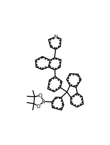 CC1(C)OB(c2cccc(C3(c4cccc(-c5ccc(-c6ccncc6)c6ccccc56)c4)c4ccccc4-c4ccccc43)c2)OC1(C)C